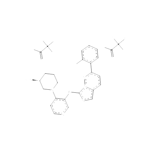 N[C@H]1CCCN(c2ccncc2Nc2ncc3ccc(-c4ccccc4F)nn23)C1.O=C(O)C(F)(F)F.O=C(O)C(F)(F)F